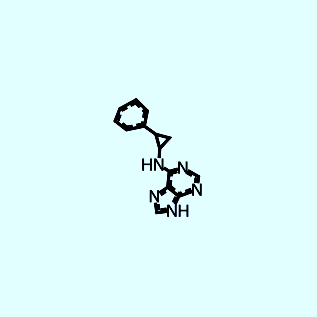 c1ccc(C2CC2Nc2ncnc3[nH]cnc23)cc1